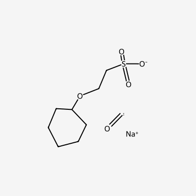 O=S(=O)([O-])CCOC1CCCCC1.[C]=O.[Na+]